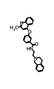 Cc1cc(Oc2cccc(C(=O)NCCN3CCc4ccccc4C3)c2)c2ccccc2n1